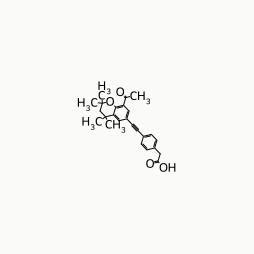 CC(=O)c1cc(C#Cc2ccc(CC(=O)O)cc2)cc2c1OC(C)(C)CC2(C)C